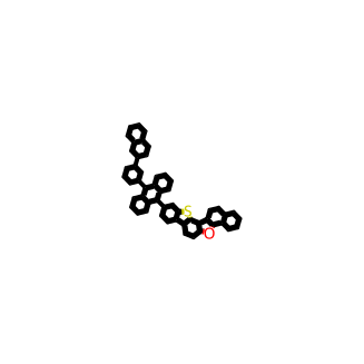 c1cc(-c2ccc3ccccc3c2)cc(-c2c3ccccc3c(-c3ccc4c(c3)sc3c4ccc4oc5c6ccccc6ccc5c43)c3ccccc23)c1